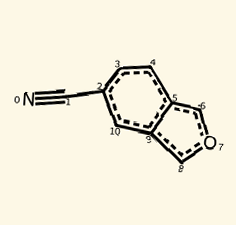 N#Cc1ccc2[c]occ2c1